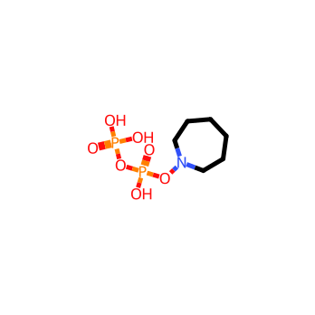 O=P(O)(O)OP(=O)(O)ON1CCCCCC1